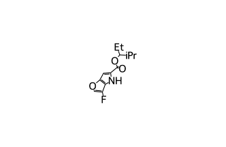 CCC(OC(=O)c1cc2occ(F)c2[nH]1)C(C)C